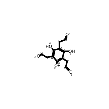 O=CCc1c(O)c(CC=O)c(O)c(CC=O)c1O